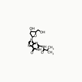 CC(C)C(=O)Nc1nc2c(ncn2[C@H]2C[C@H](O)C(CO)O2)c(=O)[nH]1